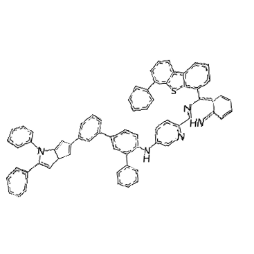 N=C1C=CC=C/C1=C(/N=C/c1ccc(Nc2ccc(-c3cccc(C4=CC5C=C(c6ccccc6)N(c6ccccc6)C5=C4)c3)cc2-c2ccccc2)cn1)c1cccc2c1sc1c(-c3ccccc3)cccc12